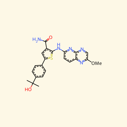 COc1cnc2nc(Nc3sc(-c4ccc(C(C)(C)O)cc4)cc3C(N)=O)ccc2n1